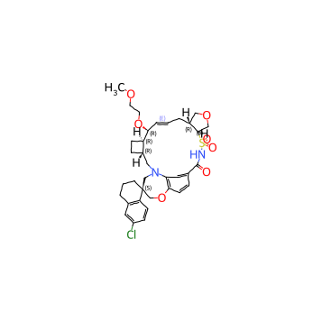 COCCO[C@H]1/C=C/C[C@@H]2COC[C@H]2S(=O)(=O)NC(=O)c2ccc3c(c2)N(C[C@@H]2CC[C@H]21)C[C@@]1(CCCc2cc(Cl)ccc21)CO3